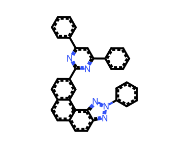 c1ccc(-c2cc(-c3ccccc3)nc(-c3ccc4ccc5ccc6nn(-c7ccccc7)nc6c5c4c3)n2)cc1